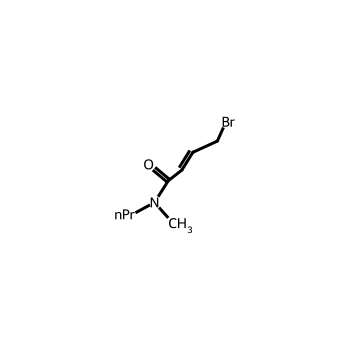 CCCN(C)C(=O)C=CCBr